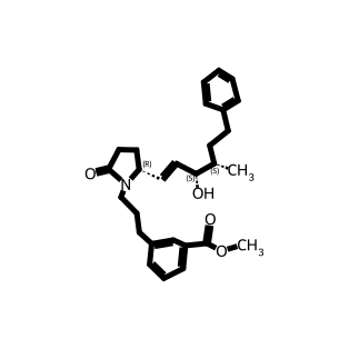 COC(=O)c1cccc(CCCN2C(=O)CC[C@@H]2C=C[C@@H](O)[C@@H](C)CCc2ccccc2)c1